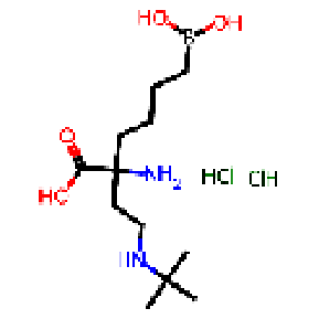 CC(C)(C)NCCC(N)(CCCCB(O)O)C(=O)O.Cl.Cl